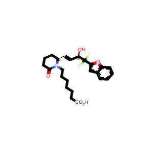 O=C(O)CCCCCCN1C(=O)CCC[C@@H]1C=C[C@@H](O)C(F)(F)c1cc2ccccc2o1